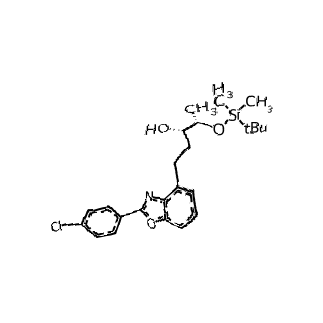 C[C@H](O[Si](C)(C)C(C)(C)C)[C@@H](O)CCc1cccc2oc(-c3ccc(Cl)cc3)nc12